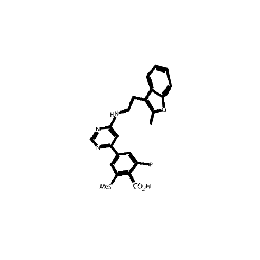 CSc1cc(-c2cc(NCCc3c(C)oc4ccccc34)ncn2)cc(F)c1C(=O)O